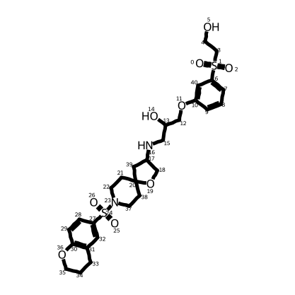 O=S(=O)(CCO)c1cccc(OCC(O)CNC2COC3(CCN(S(=O)(=O)c4ccc5c(c4)CCCO5)CC3)C2)c1